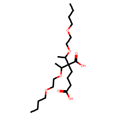 CCCCOCCOC(C)C(CCCC(=O)O)(C(=O)O)C(C)OCCOCCCC